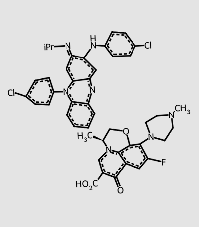 CC(C)/N=c1\cc2n(-c3ccc(Cl)cc3)c3ccccc3nc-2cc1Nc1ccc(Cl)cc1.C[C@H]1COc2c(N3CCN(C)CC3)c(F)cc3c(=O)c(C(=O)O)cn1c23